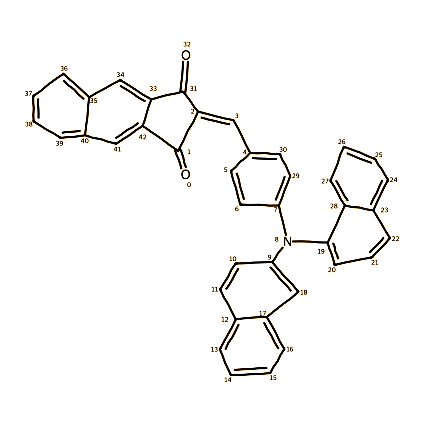 O=C1C(=Cc2ccc(N(c3ccc4ccccc4c3)c3cccc4ccccc34)cc2)C(=O)c2cc3ccccc3cc21